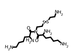 NCCCCC(N)C(=O)N(CCSSCCN)C(=O)C(N)CCCCN